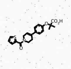 CC(C)(Oc1ccc(C2=CCN(C(=O)c3cccs3)CC2)cc1)C(=O)O